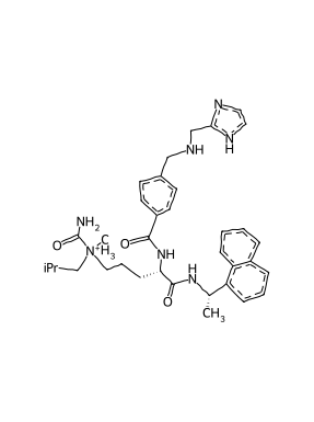 CC(C)C[N+](C)(CCC[C@H](NC(=O)c1ccc(CNCc2ncc[nH]2)cc1)C(=O)N[C@@H](C)c1cccc2ccccc12)C(N)=O